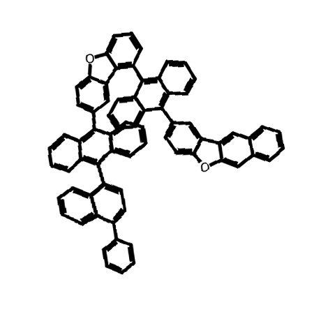 c1ccc(-c2ccc(-c3c4ccccc4c(-c4ccc5oc6cccc(-c7c8ccccc8c(-c8ccc9oc%10cc%11ccccc%11cc%10c9c8)c8ccccc78)c6c5c4)c4ccccc34)c3ccccc23)cc1